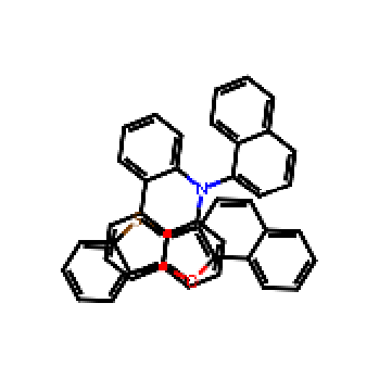 c1ccc(N(c2cccc3ccccc23)c2cccc3c2sc2ccccc23)c(-c2cccc3oc4c5ccccc5ccc4c23)c1